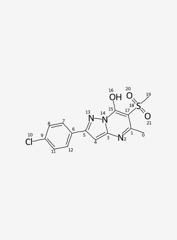 Cc1nc2cc(-c3ccc(Cl)cc3)nn2c(O)c1S(C)(=O)=O